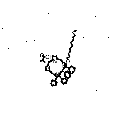 C=C(C)C(=O)O.CCCCCCCCCCCCOC1=C(c2ccccc2)C2=NC1=CC1=NC(=CC3=NC(=CC4=NC(=C2c2ccccc2)C(c2ccccc2)=C4c2ccccc2)C=C3)C=C1